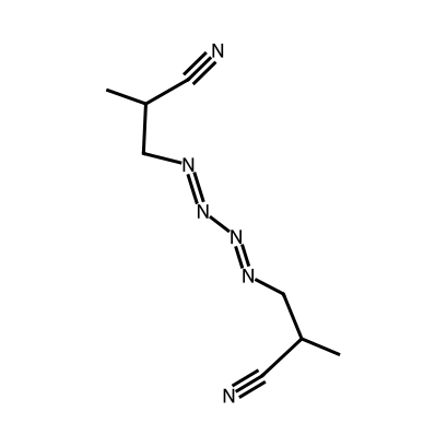 CC(C#N)CN=NN=NCC(C)C#N